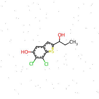 CCC(O)c1cc2cc(O)c(Cl)c(Cl)c2s1